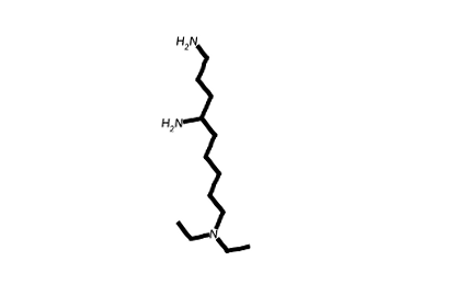 CCN(CC)CCCCCC(N)CCCN